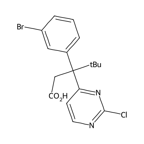 CC(C)(C)C(CC(=O)O)(c1cccc(Br)c1)c1ccnc(Cl)n1